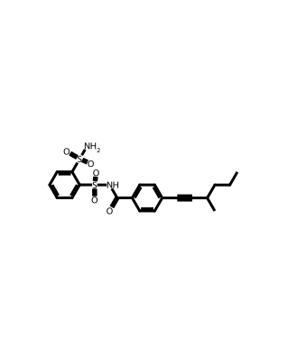 CCCC(C)C#Cc1ccc(C(=O)NS(=O)(=O)c2ccccc2S(N)(=O)=O)cc1